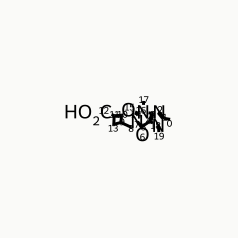 Cc1nc2c(c(=O)n(CC3CC(C(=O)O)C3)c(=O)n2C)n1C